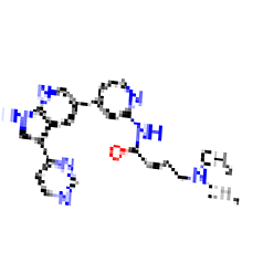 CN(C)C/C=C/C(=O)Nc1cc(-c2cnc3[nH]cc(-c4ccncn4)c3c2)ccn1